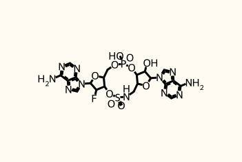 Nc1ncnc2c1ncn2C1OC2CNS(=O)(=O)OC3C(COP(=O)(O)OC2C1O)OC(n1cnc2c(N)ncnc21)C3F